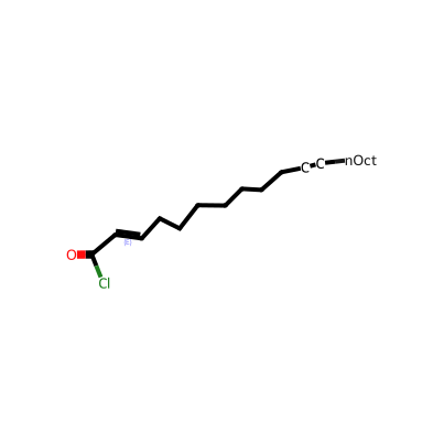 CCCCCCCCCCCCCCCCC/C=C/C(=O)Cl